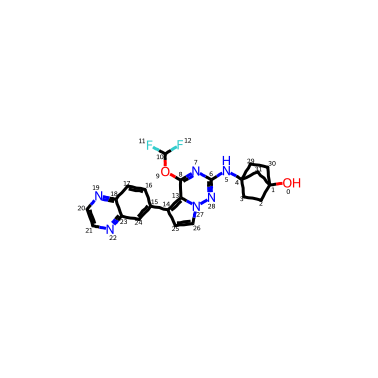 OC12CCC(Nc3nc(OC(F)F)c4c(-c5ccc6nccnc6c5)ccn4n3)(CC1)C2